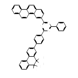 CC1(C)c2ccccc2-c2ccc(-c3ccc(-c4nc(-c5ccccc5)nc(-c5ccc6ccc7c8ccccc8ccc7c6c5)n4)cc3)cc2C1(C)C